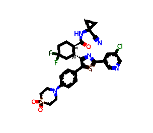 N#CC1(NC(=O)[C@@H]2CCC(F)(F)C[C@H]2c2nc(-c3cncc(Cl)c3)sc2-c2ccc(N3CCS(=O)(=O)CC3)cc2)CC1